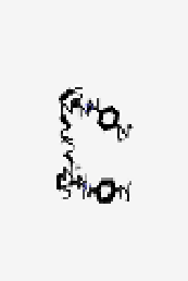 CN(C)c1ccc(/N=N/c2scc[n+]2CCSSCC[n+]2ccsc2/N=N/c2ccc(N(C)C)cc2)cc1